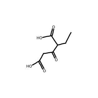 CCC(C(=O)O)C(=O)CC(=O)O